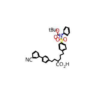 CC(C)(C)OC(=O)N(c1ccccc1)S(=O)(=O)c1ccc(CCCC(CCc2ccc(-c3cccc(C#N)c3)cc2)C(=O)O)cc1